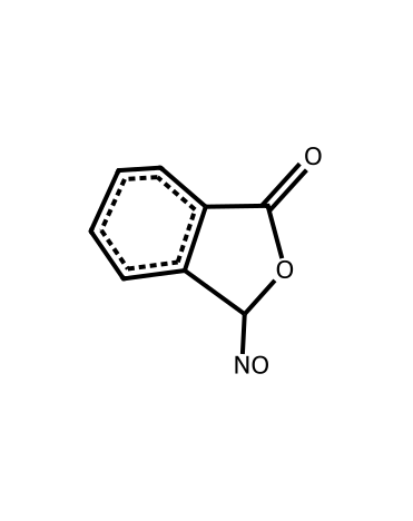 O=NC1OC(=O)c2ccccc21